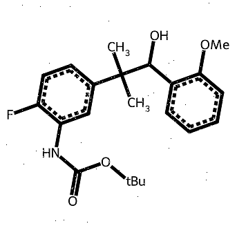 COc1ccccc1C(O)C(C)(C)c1ccc(F)c(NC(=O)OC(C)(C)C)c1